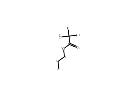 CCCOC(=O)C(F)(F)Cl